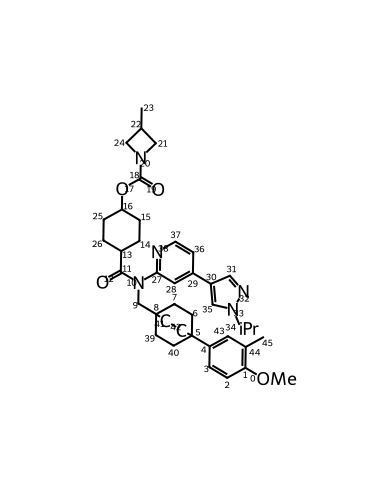 COc1ccc(C23CCC(CN(C(=O)C4CCC(OC(=O)N5CC(C)C5)CC4)c4cc(-c5cnn(C(C)C)c5)ccn4)(CC2)CC3)cc1C